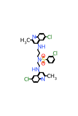 Cc1cc(NCCCN(CCNc2cc(C)nc3ccc(Cl)cc23)S(=O)(=O)c2cccc(Cl)c2)c2cc(Cl)ccc2n1